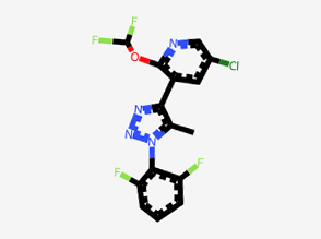 Cc1c(-c2cc(Cl)cnc2OC(F)F)nnn1-c1c(F)cccc1F